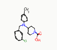 Cc1ccc(N(Cc2cccc(Cl)c2)C2CCN(C(=O)O)CC2)cc1